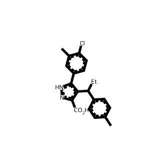 CCC(c1ccc(C)cc1)c1c(C(=O)O)n[nH]c1-c1ccc(Cl)c(C)c1